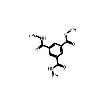 CCCNC(=O)c1cc(C(=O)NCCC)cc(C(=O)OCCC)c1